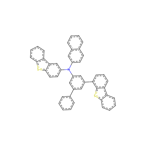 c1ccc(-c2cc(-c3cccc4c3sc3ccccc34)cc(N(c3ccc4ccccc4c3)c3ccc4sc5ccccc5c4c3)c2)cc1